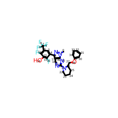 Cn1nc(-c2cc(C(F)(F)F)c(F)c(O)c2F)c2cnc(N3CCCCC3COc3ccccc3)nc21